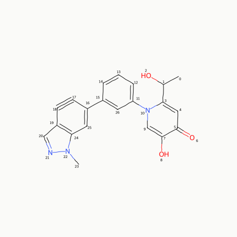 CC(O)c1cc(=O)c(O)cn1-c1cccc(-c2c#cc3cnn(C)c3c2)c1